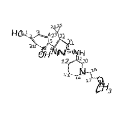 C#Cc1ccc(-c2nnc(N[C@@H]3CCCN(CCOC)C3)cc2C2CC2)c(O)c1